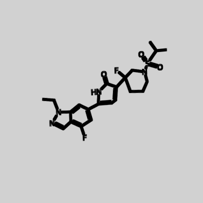 CCn1ncc2c(F)cc(-c3ccc(C4(F)CCCN(S(=O)(=O)C(C)C)C4)c(=O)[nH]3)cc21